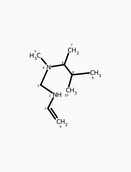 C=CNCN(C)C(C)C(C)C